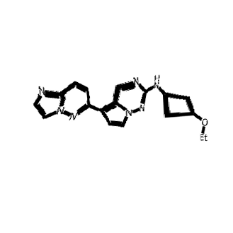 CCOC1CC(Nc2ncc3c(-c4ccc5nccn5n4)ccn3n2)C1